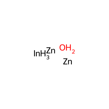 O.[InH3].[Zn].[Zn]